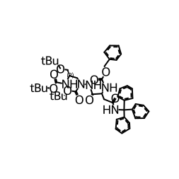 CC(C)(C)OC[C@@H](CN(NC(=O)C(CC(=O)NC(c1ccccc1)(c1ccccc1)c1ccccc1)NC(=O)OCc1ccccc1)C(=O)OC(C)(C)C)NC(=O)OC(C)(C)C